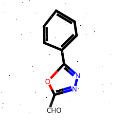 O=Cc1nnc(-c2ccccc2)o1